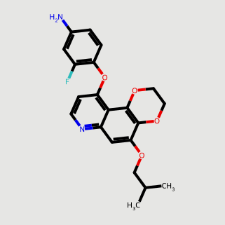 CC(C)COc1cc2nccc(Oc3ccc(N)cc3F)c2c2c1OCCO2